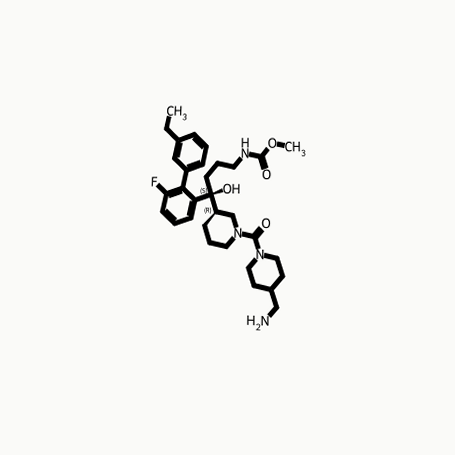 CCc1cccc(-c2c(F)cccc2[C@](O)(CCCNC(=O)OC)[C@@H]2CCCN(C(=O)N3CCC(CN)CC3)C2)c1